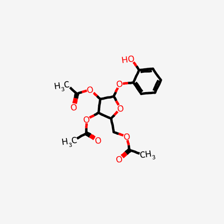 CC(=O)OCC1OC(Oc2ccccc2O)C(OC(C)=O)C1OC(C)=O